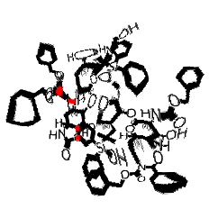 CC(C)(C[C@H]1[C@H](O[C@@H]2[C@H]3OC(=O)N[C@@H]3C[C@H](NC(=O)OCc3ccccc3)[C@H]2O[C@H]2O[C@H](CNCCO)[C@@H](O)C[C@H]2NC(=O)OCc2ccccc2)O[C@H](CO[Si](c2ccccc2)(c2ccccc2)C(C)(C)C)[C@H]1O[C@H]1O[C@H]2CN(C(=O)OCc3ccccc3)C(c3ccccc3)O[C@H]2[C@H](O)[C@H]1NC(=O)OCc1ccccc1)[Si](O)(c1ccccc1)c1ccccc1